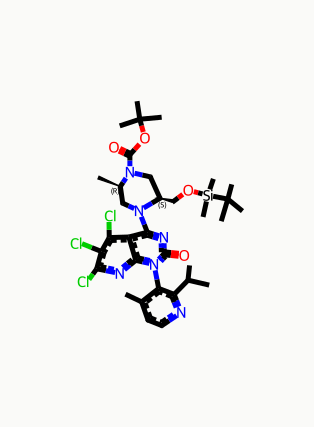 Cc1ccnc(C(C)C)c1-n1c(=O)nc(N2C[C@@H](C)N(C(=O)OC(C)(C)C)C[C@H]2CO[Si](C)(C)C(C)(C)C)c2c(Cl)c(Cl)c(Cl)nc21